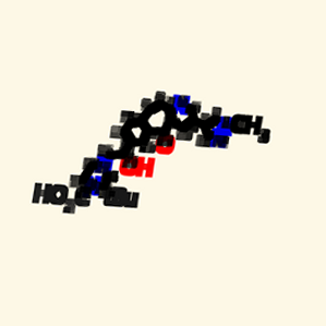 Cn1cc(-c2cnc3ccc4ccc(C(O)CN5CCN(C(=O)O)C(C(C)(C)C)C5)cc4c(=O)c3c2)cn1